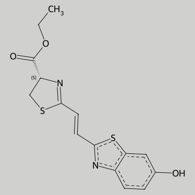 CCOC(=O)[C@H]1CSC(C=Cc2nc3ccc(O)cc3s2)=N1